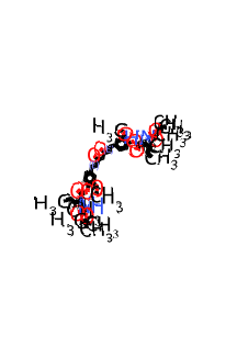 CC[C@H](C)[C@H](NC(=O)OC(C)(C)C)C(=O)Oc1ccc(/C=C/C(=O)CC(=O)/C=C/c2ccc(OC(=O)[C@@H](NC(=O)OC(C)(C)C)[C@@H](C)CC)c(OC)c2)cc1OC